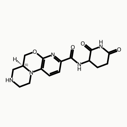 O=C1CCC(NC(=O)c2ccc3c(n2)OC[C@@H]2CNCCN32)C(=O)N1